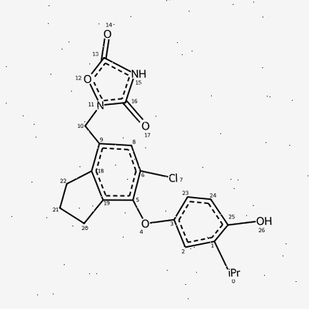 CC(C)c1cc(Oc2c(Cl)cc(Cn3oc(=O)[nH]c3=O)c3c2CCC3)ccc1O